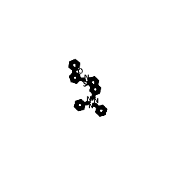 c1ccc(-c2nc(-c3ccccc3)nc(-c3ccc4ccc5nc(-c6cccc7c6oc6ccccc67)sc5c4c3)n2)cc1